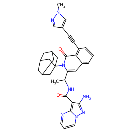 CC(NC(=O)c1c(N)nn2cccnc12)c1cc2cccc(C#Cc3cnn(C)c3)c2c(=O)n1C12CC3CC(CC(C3)C1)C2